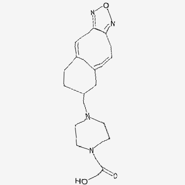 O=C(O)N1CCN(C2CCc3cc4nonc4cc3C2)CC1